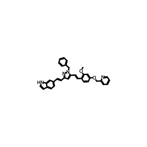 COc1cc(OCc2ccccn2)ccc1C=Cc1cc(C=Cc2ccc3cc[nH]c3c2)nn1Cc1ccccc1